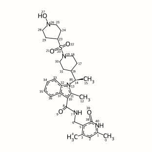 Cc1cc(C)c(CNC(=O)c2c(C)n([C@H](C)C3CCN(S(=O)(=O)C4CCN(O)CC4)CC3)c3ccccc23)c(=O)[nH]1